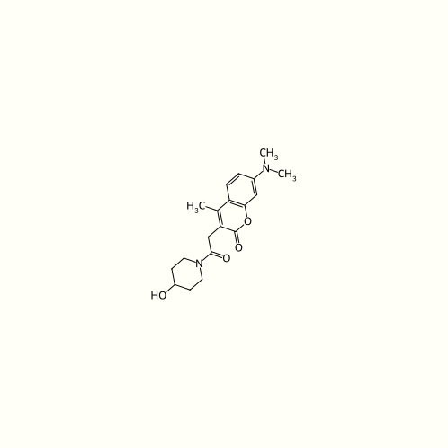 Cc1c(CC(=O)N2CCC(O)CC2)c(=O)oc2cc(N(C)C)ccc12